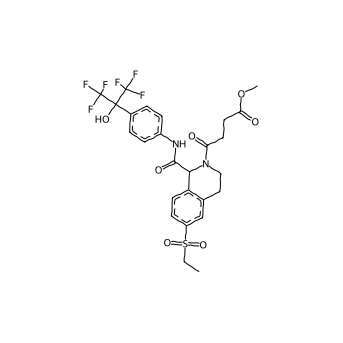 CCS(=O)(=O)c1ccc2c(c1)CCN(C(=O)CCC(=O)OC)C2C(=O)Nc1ccc(C(O)(C(F)(F)F)C(F)(F)F)cc1